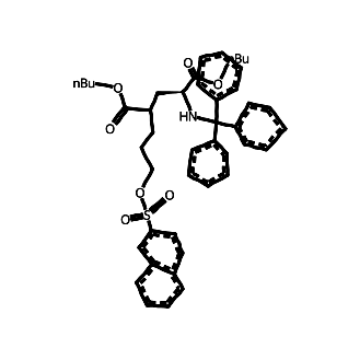 CCCCOC(=O)C(CCCOS(=O)(=O)c1ccc2ccccc2c1)C[C@H](NC(c1ccccc1)(c1ccccc1)c1ccccc1)C(=O)OCCCC